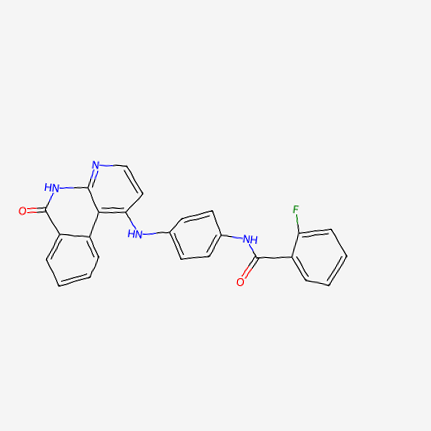 O=C(Nc1ccc(Nc2ccnc3[nH]c(=O)c4ccccc4c23)cc1)c1ccccc1F